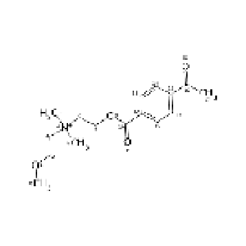 COCC[N+](C)(C)CCOC(=O)c1ccc(C(C)=O)cc1